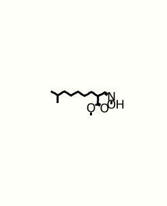 COC(=O)C(/C=N\O)CCCCCC(C)C